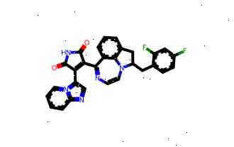 O=C1NC(=O)C(c2cnc3ccccn23)=C1C1=NC=CN2c3c(cccc31)CC2Cc1ccc(F)cc1F